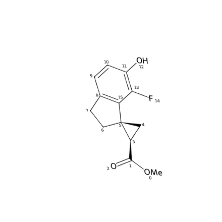 COC(=O)[C@@H]1C[C@]12CCc1ccc(O)c(F)c12